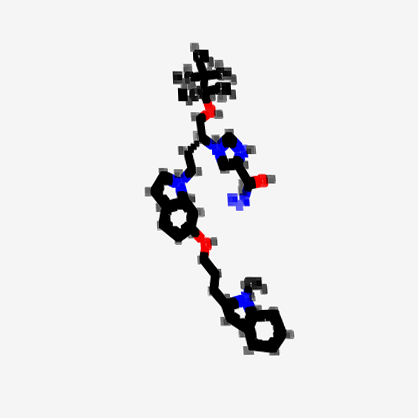 Cn1c(CCCOc2ccc3ccn(CC[C@H](CO[Si](C)(C)C(C)(C)C)n4cnc(C(N)=O)c4)c3c2)cc2ccccc21